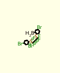 Bc1cc(Br)ccc1SC(F)(F)C(F)(F)C(F)(F)C(F)(F)Sc1ccc(Br)cc1Br